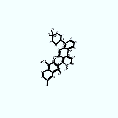 Cc1ccc2c(C(C)C)c3c(c(C)c2c1)-c1c2c(cc4c(C5CCC(C)(C)CC5)cccc4c2cc[n+]1C)O3